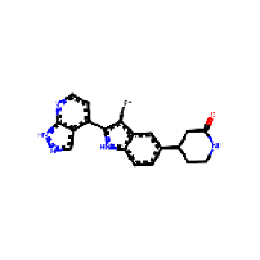 CC(C)c1c(-c2ccnc3[nH]ncc23)[nH]c2ccc(C3CCNC(=O)C3)cc12